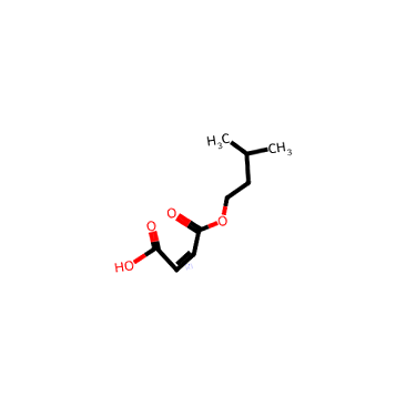 CC(C)CCOC(=O)/C=C\C(=O)O